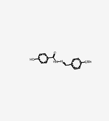 COc1ccc(C=NNC(=O)c2ccc(O)cc2)cc1